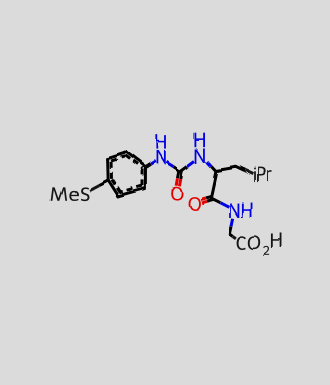 CSc1ccc(NC(=O)NC(CC(C)C)C(=O)NCC(=O)O)cc1